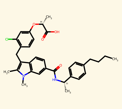 CCCCc1ccc([C@H](C)NC(=O)c2ccc3c(Cc4ccc(O[C@H](C)C(=O)O)cc4Cl)c(C)n(C)c3c2)cc1